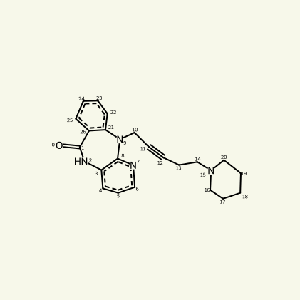 O=C1Nc2cccnc2N(CC#CCCN2CCCCC2)c2ccccc21